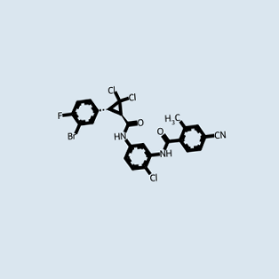 Cc1cc(C#N)ccc1C(=O)Nc1cc(NC(=O)[C@H]2[C@H](c3ccc(F)c(Br)c3)C2(Cl)Cl)ccc1Cl